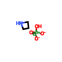 C1CNC1.[O-][Cl+3]([O-])([O-])O